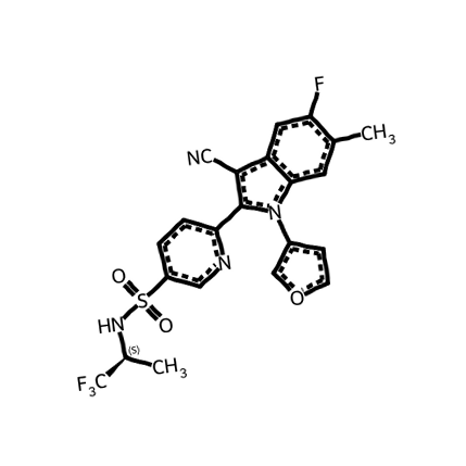 Cc1cc2c(cc1F)c(C#N)c(-c1ccc(S(=O)(=O)N[C@@H](C)C(F)(F)F)cn1)n2-c1ccoc1